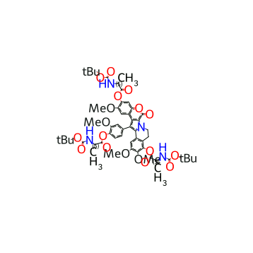 COc1cc(-c2c3n(c4c(=O)oc5cc(OC(=O)[C@H](C)NC(=O)OC(C)(C)C)c(OC)cc5c24)CCc2c-3cc(OC)c(OC)c2OC(=O)[C@H](C)NC(=O)OC(C)(C)C)ccc1OC(=O)[C@H](C)NC(=O)OC(C)(C)C